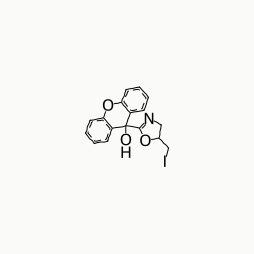 OC1(C2=NCC(CI)O2)c2ccccc2Oc2ccccc21